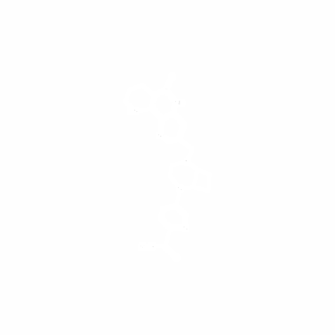 CNC(=O)c1ccc(N2CCN(Cc3cnc4c5c(c(=O)[nH]c4c3)CCCN5)C3CCC32)cn1